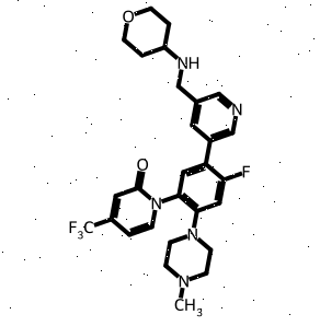 CN1CCN(c2cc(F)c(-c3cncc(CNC4CCOCC4)c3)cc2-n2ccc(C(F)(F)F)cc2=O)CC1